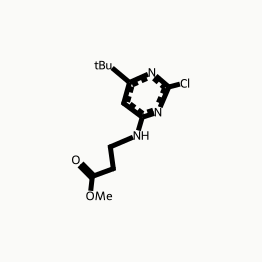 COC(=O)CCNc1cc(C(C)(C)C)nc(Cl)n1